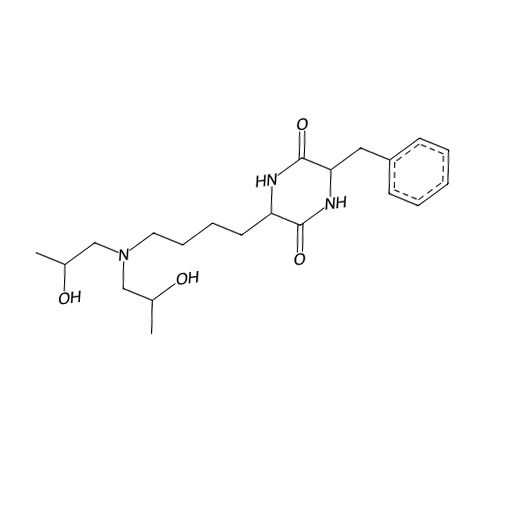 CC(O)CN(CCCCC1NC(=O)C(Cc2ccccc2)NC1=O)CC(C)O